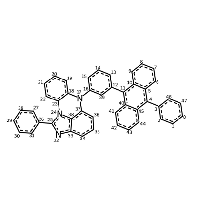 c1ccc(-c2c3ccccc3c(-c3cccc(N4c5ccccc5-n5c(-c6ccccc6)nc6cccc4c65)c3)c3ccccc23)cc1